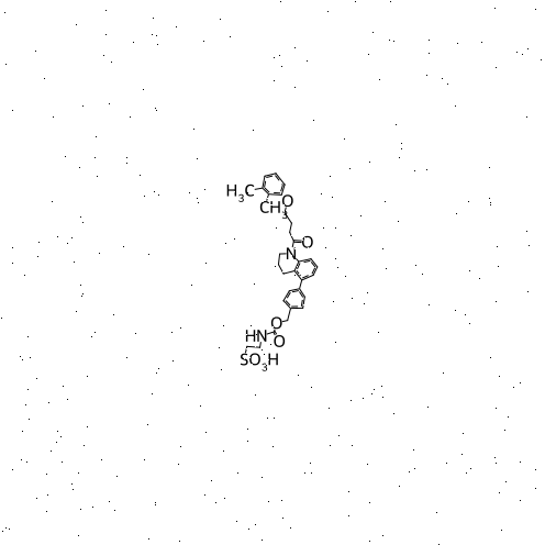 Cc1cccc(OCCCC(=O)N2CCCc3c(-c4ccc(COC(=O)NCCS(=O)(=O)O)cc4)cccc32)c1C